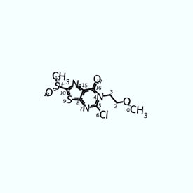 COCCn1c(Cl)nc2sc([S+](C)[O-])nc2c1=O